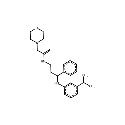 CC(C)c1cccc(NC(CCNC(=O)CN2CCOCC2)c2ccccc2)c1